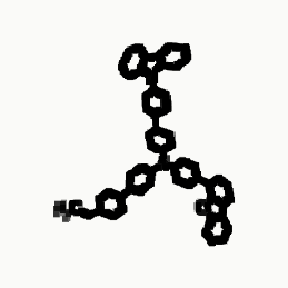 C=Cc1ccc(-c2ccc(N(c3ccc(-c4ccc(-n5c6ccccc6c6ccccc65)cc4)cc3)c3ccc(-c4cccc5c4oc4ccccc45)cc3)cc2)cc1